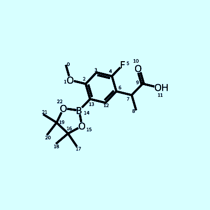 COc1cc(F)c(C(C)C(=O)O)cc1B1OC(C)(C)C(C)(C)O1